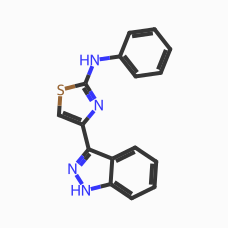 c1ccc(Nc2nc(-c3n[nH]c4ccccc34)cs2)cc1